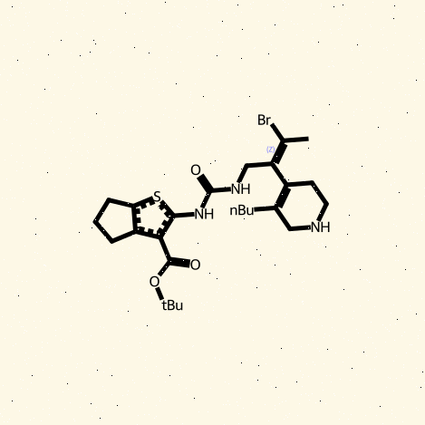 CCCCC1=C(/C(CNC(=O)Nc2sc3c(c2C(=O)OC(C)(C)C)CCC3)=C(\C)Br)CCNC1